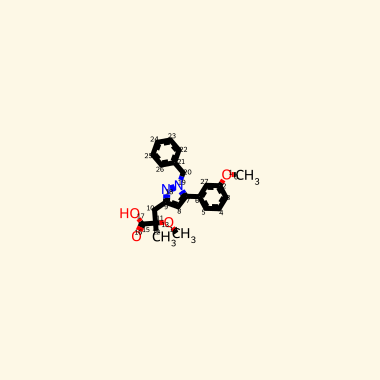 COc1cccc(-c2cc(CC(C)(OC)C(=O)O)nn2Cc2ccccc2)c1